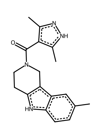 Cc1ccc2[nH]c3c(c2c1)CN(C(=O)c1c(C)n[nH]c1C)CC3